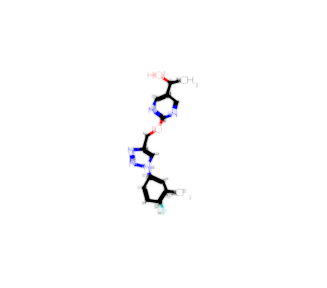 CC(O)c1cnc(OCc2cn(-c3ccc(F)c(C(F)(F)F)c3)nn2)nc1